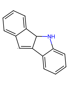 [C]1=C2c3ccccc3NC2c2ccccc21